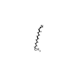 CCCCCCC=CCCC=CC#N